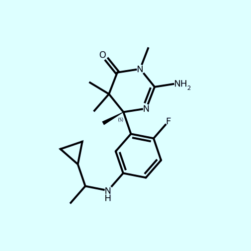 CC(Nc1ccc(F)c([C@@]2(C)N=C(N)N(C)C(=O)C2(C)C)c1)C1CC1